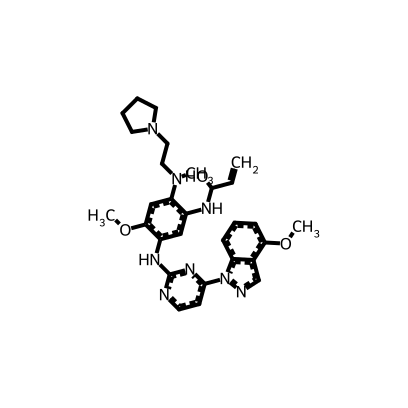 C=CC(O)Nc1cc(Nc2nccc(-n3ncc4c(OC)cccc43)n2)c(OC)cc1N(C)CCN1CCCC1